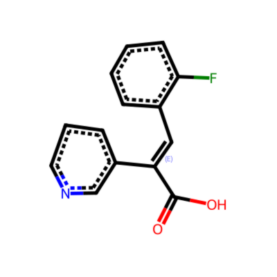 O=C(O)/C(=C/c1ccccc1F)c1cccnc1